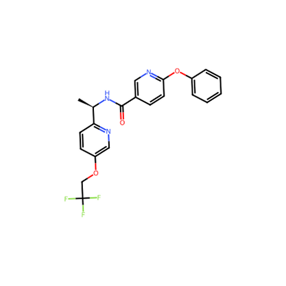 C[C@@H](NC(=O)c1ccc(Oc2ccccc2)nc1)c1ccc(OCC(F)(F)F)cn1